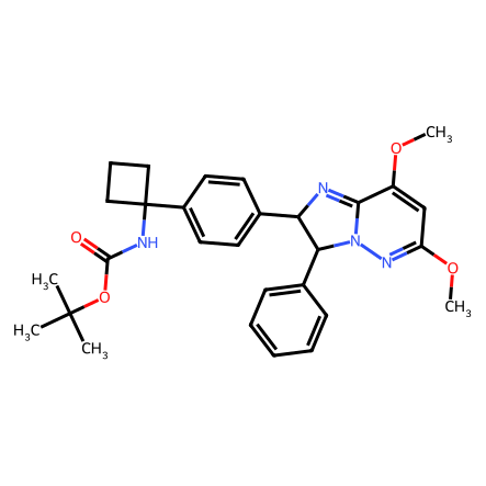 COC1=CC(OC)=NN2C1=NC(c1ccc(C3(NC(=O)OC(C)(C)C)CCC3)cc1)C2c1ccccc1